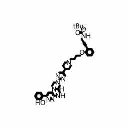 CC(C)(C)OC(=O)NCC#Cc1ccccc1OCCCCN1CCC(c2cnc(N3CCN4c5cc(-c6ccccc6O)nnc5NC[C@H]4C3)nc2)CC1